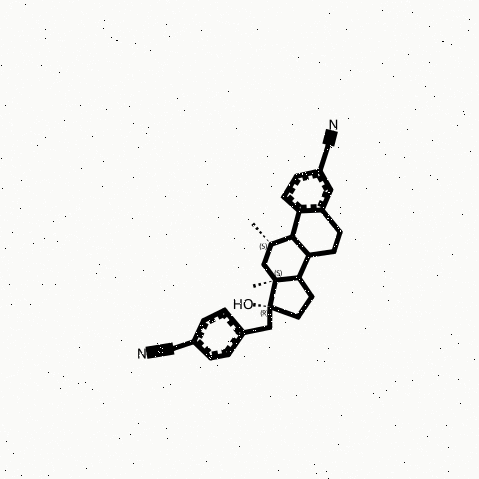 C[C@H]1C[C@@]2(C)C(CC[C@@]2(O)Cc2ccc(C#N)cc2)C2CCc3cc(C#N)ccc3C21